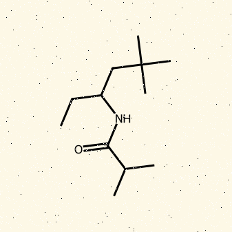 CCC(CC(C)(C)C)NC(=O)C(C)C